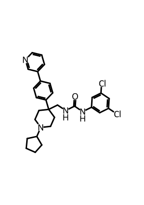 O=C(NCC1(c2ccc(-c3cccnc3)cc2)CCN(C2CCCC2)CC1)Nc1cc(Cl)cc(Cl)c1